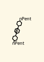 CCCCCC1CCC(C23CCC(C4CCC(CCCCC)CC4)(CC2)CC3)CC1